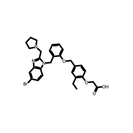 CCc1cc(COc2ccccc2Cn2c(CN3CCCC3)nc3cc(Br)ccc32)ccc1OCC(=O)O